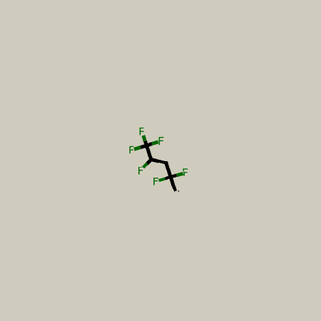 [CH2]C(F)(F)CC(F)C(F)(F)F